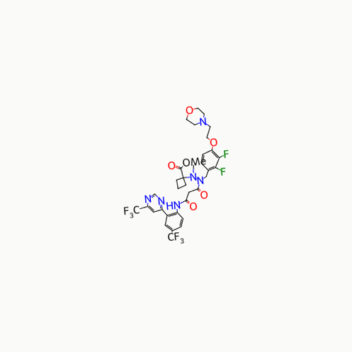 COC(=O)C1(N(C)N(Cc2ccc(OCCN3CCOCC3)c(F)c2F)C(=O)CC(=O)Nc2ccc(C(F)(F)F)cc2-c2cc(C(F)(F)F)ncn2)CCC1